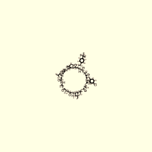 CC[C@H](C)[C@@H]1NC(=O)[C@H](C)N(C)C(=O)C[C@@H](C)NC(=O)[C@H](CC(C)C)N(C)C(=O)C(C)(C)NC(=O)[C@@H]2CCCN2C(=O)[C@H](CCc2ccc(C(F)(F)F)cc2)NC(=O)CN(C)C(=O)[C@H](Cc2ccc(Cl)cc2)N(C)C(=O)CN(C)C(=O)CN(C)C1=O